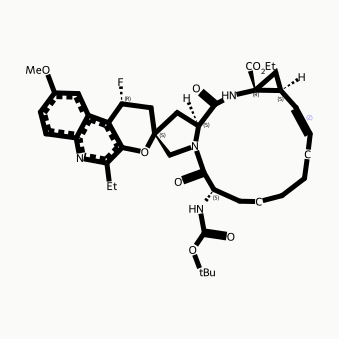 CCOC(=O)[C@@]12C[C@H]1/C=C\CCCCC[C@H](NC(=O)OC(C)(C)C)C(=O)N1C[C@@]3(C[C@@H](F)c4c(c(CC)nc5ccc(OC)cc45)O3)C[C@H]1C(=O)N2